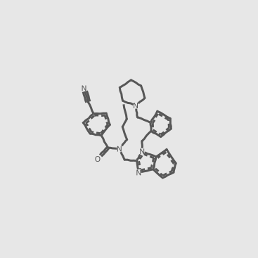 CCCCN(Cc1nc2ccccc2n1Cc1ccccc1CN1CCCCC1)C(=O)c1ccc(C#N)cc1